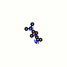 c1ccc(-c2cc(-c3ccccc3)nc(-c3cccc(-c4ccccc4-n4c5ccccc5c5cc6c7ccccc7c7nccnc7c6cc54)c3)n2)cc1